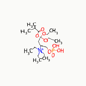 C=C(C)C(=O)OC(CC(COP(=O)(O)O)[N+](CC)(CC)CC)(OCC)OCC